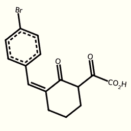 O=C(O)C(=O)C1CCCC(=Cc2ccc(Br)cc2)C1=O